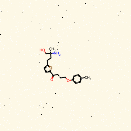 Cc1ccc(OCCCC(=O)c2ccc(CCC(C)(N)CO)s2)cc1